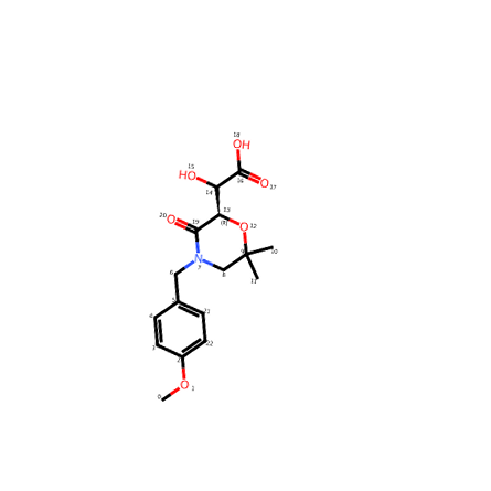 COc1ccc(CN2CC(C)(C)O[C@H](C(O)C(=O)O)C2=O)cc1